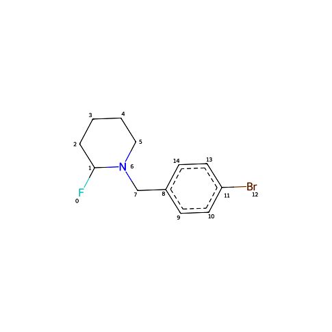 FC1CCCCN1Cc1ccc(Br)cc1